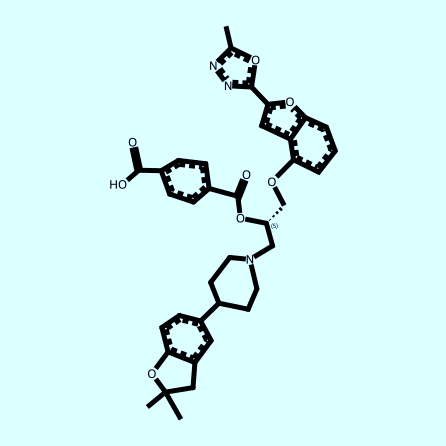 Cc1nnc(-c2cc3c(OC[C@H](CN4CCC(c5ccc6c(c5)CC(C)(C)O6)CC4)OC(=O)c4ccc(C(=O)O)cc4)cccc3o2)o1